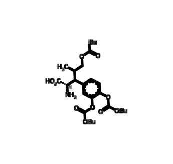 CCC(C)C(=O)OCC(C)C(c1ccc(OC(=O)OCC(C)C)c(OC(=O)OCC(C)C)c1)[C@H](N)C(=O)O